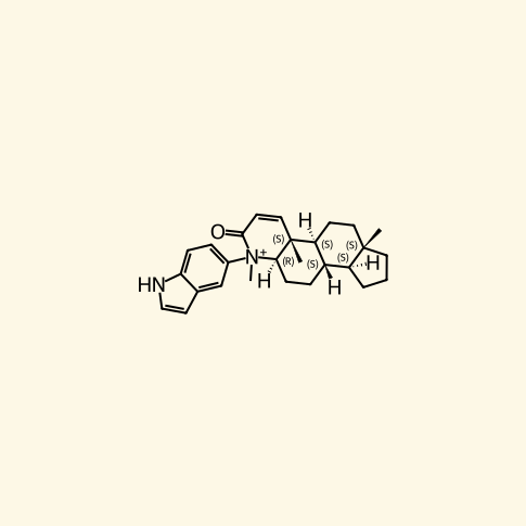 C[C@@]12CCC[C@H]1[C@@H]1CC[C@@H]3[C@](C)(C=CC(=O)[N+]3(C)c3ccc4[nH]ccc4c3)[C@H]1CC2